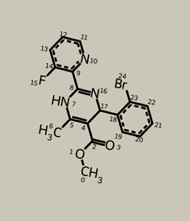 COC(=O)C1=C(C)NC(c2ncccc2F)=NC1c1ccccc1Br